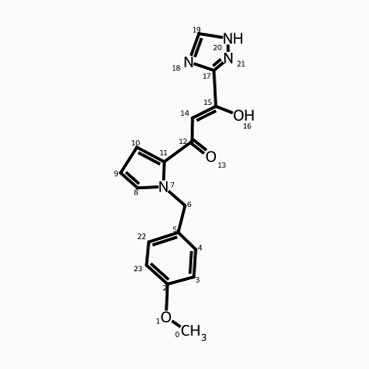 COc1ccc(Cn2cccc2C(=O)C=C(O)c2nc[nH]n2)cc1